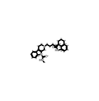 CNC(=O)n1c2c(c3ccccc31)CCN(CCCCC13CCCc4cccc(c41)NC3=O)C2